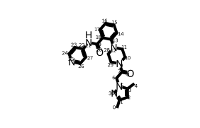 Cc1cc(C)n(CC(=O)N2CCN(c3ccccc3C(=O)Nc3ccncc3)CC2)n1